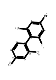 Fc1cc(Br)cc(F)c1-c1ccc(Cl)[c]c1Cl